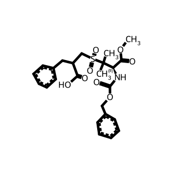 COC(=O)[C@@H](NC(=O)OCc1ccccc1)C(C)(C)S(=O)(=O)CC(Cc1ccccc1)C(=O)O